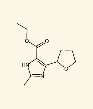 CCOC(=O)c1[nH]c(C)nc1C1CCCO1